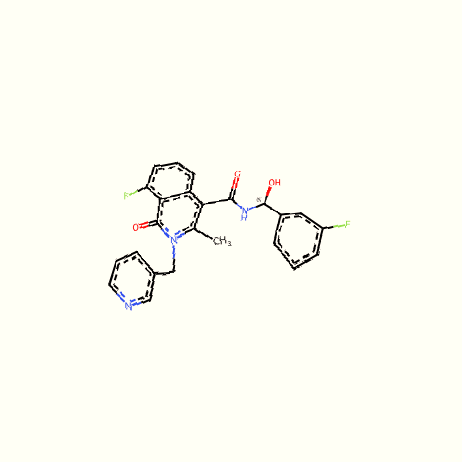 Cc1c(C(=O)N[C@@H](O)c2cccc(F)c2)c2cccc(F)c2c(=O)n1Cc1cccnc1